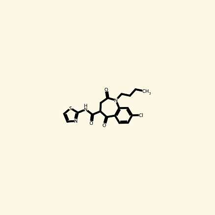 CCCCN1C(=O)CC(C(=O)Nc2nccs2)C(=O)c2ccc(Cl)cc21